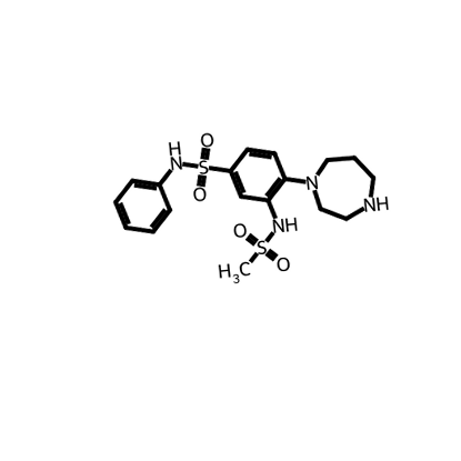 CS(=O)(=O)Nc1cc(S(=O)(=O)Nc2ccccc2)ccc1N1CCCNCC1